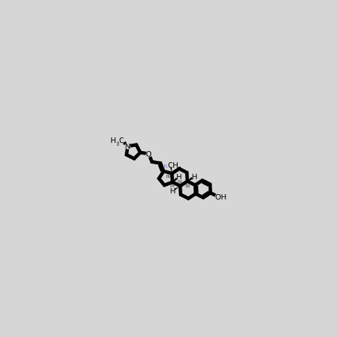 CN1CCC(OC/C=C2\CC[C@H]3[C@@H]4CCc5cc(O)ccc5[C@H]4CC[C@]23C)C1